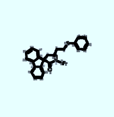 CCCNC(=O)C1(CCCCSc2ccccc2)c2ccccc2-c2ccccc21